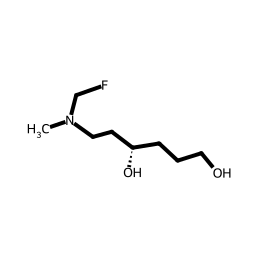 CN(CF)CC[C@@H](O)CCCO